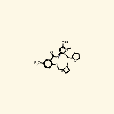 Cn1c(C(C)(C)C)c/c(=N\C(=O)c2cc(C(F)(F)F)ccc2OC[C@@H]2CCN2)n1C[C@H]1CCCO1